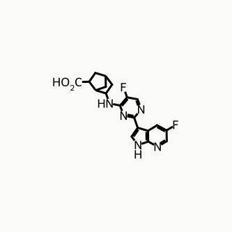 O=C(O)C1CC2CC(Nc3nc(-c4c[nH]c5ncc(F)cc45)ncc3F)C1C2